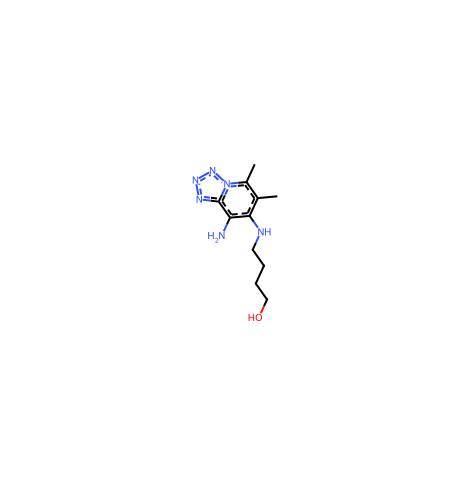 Cc1c(NCCCCO)c(N)c2nnnn2c1C